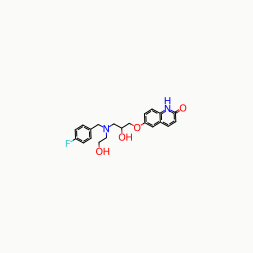 O=c1ccc2cc(OCC(O)CN(CCO)Cc3ccc(F)cc3)ccc2[nH]1